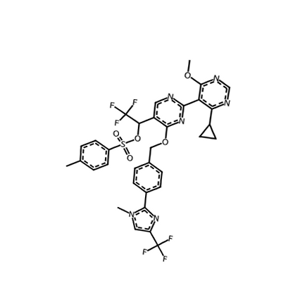 COc1ncnc(C2CC2)c1-c1ncc(C(OS(=O)(=O)c2ccc(C)cc2)C(F)(F)F)c(OCc2ccc(-c3nc(C(F)(F)F)cn3C)cc2)n1